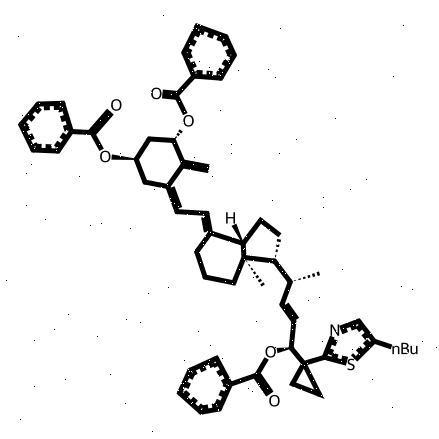 C=C1/C(=C\C=C2/CCC[C@]3(C)[C@@H]([C@H](C)/C=C/[C@H](OC(=O)c4ccccc4)C4(c5ncc(CCCC)s5)CC4)CC[C@@H]23)C[C@@H](OC(=O)c2ccccc2)C[C@@H]1OC(=O)c1ccccc1